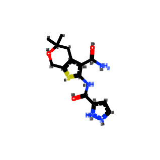 CC1(C)Cc2c(sc(NC(=O)c3ccn[nH]3)c2C(N)=O)CO1